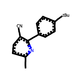 Cc1ccc(C#N)c(-c2ccc(C(C)(C)C)cc2)n1